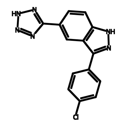 Clc1ccc(-c2n[nH]c3ccc(-c4nn[nH]n4)cc23)cc1